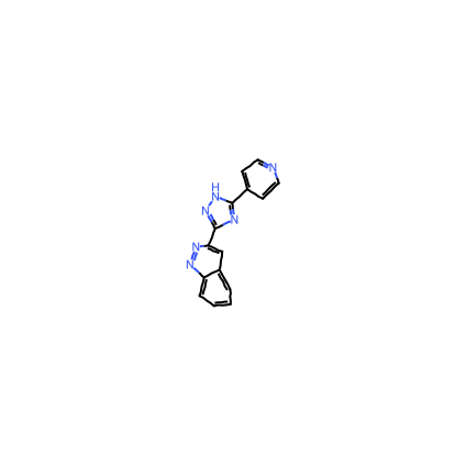 c1ccc2nnc(-c3n[nH]c(-c4ccncc4)n3)cc2c1